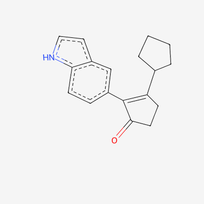 O=C1CCC(C2CCCC2)=C1c1ccc2[nH]ccc2c1